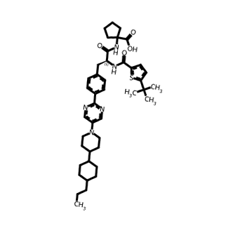 CCCC1CCC(C2CCN(c3cnc(-c4ccc(C[C@H](NC(=O)c5ccc(C(C)(C)C)s5)C(=O)NC5(C(=O)O)CCCC5)cc4)nc3)CC2)CC1